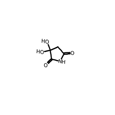 O=C1CC(O)(O)C(=O)N1